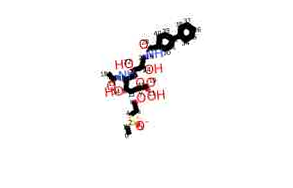 CC[S+]([O-])CCCO[C@]1(C(=O)O)C[C@H](O)[C@@H](NC(C)=O)[C@H](C(O)[C@H](O)CNC(=O)c2ccc(-c3ccccc3)cc2)O1